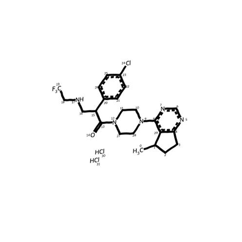 CC1CCc2ncnc(N3CCN(C(=O)C(CNCC(F)(F)F)c4ccc(Cl)cc4)CC3)c21.Cl.Cl